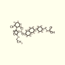 CCCc1onc(-c2c(Cl)cccc2Cl)c1COc1ccc2cc(-c3ccc(CCC(=O)O)cc3)ccc2c1